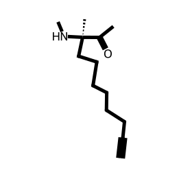 C#CCCCCCC[C@@](C)(NC)C(C)=O